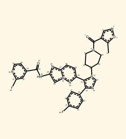 Cc1oncc1C(=O)N1CCC(n2cnc(-c3ccc(F)cc3)c2-c2ccc3nc(NC(=O)c4ccnc(F)c4)cn3n2)CC1